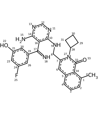 Cc1cccc2cc(CNc3ncnc(N)c3C(=N)c3cc(O)cc(F)c3)n(C3CCC3)c(=O)c12